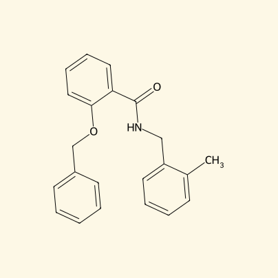 Cc1ccccc1CNC(=O)c1ccccc1OCc1ccccc1